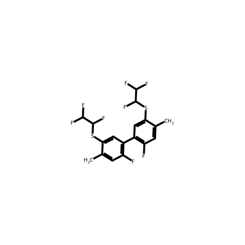 Cc1cc(F)c(-c2cc(SC(F)C(F)F)c(C)cc2F)cc1SC(F)C(F)F